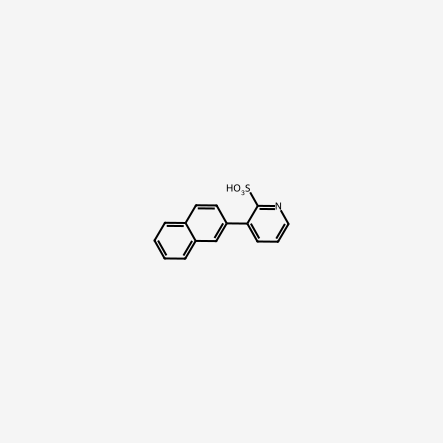 O=S(=O)(O)c1ncccc1-c1ccc2ccccc2c1